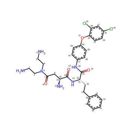 NCCN(CCN)C(=O)C[C@H](N)C(=O)N[C@@H](CCc1ccccc1)C(=O)Nc1ccc(Oc2ccc(Cl)cc2Cl)cc1